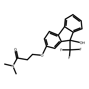 CN(C)C(=O)CCOc1ccc2c(c1)C(O)(C(F)(F)F)c1ccccc1-2